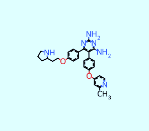 Cc1cc(Oc2ccc(-c3c(N)nc(N)nc3-c3ccc(OCCC4CCCN4)cc3)cc2)ccn1